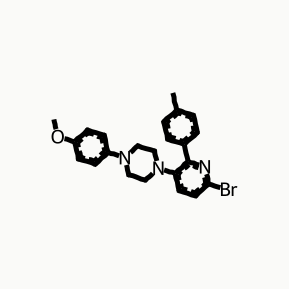 COc1ccc(N2CCN(c3ccc(Br)nc3-c3ccc(C)cc3)CC2)cc1